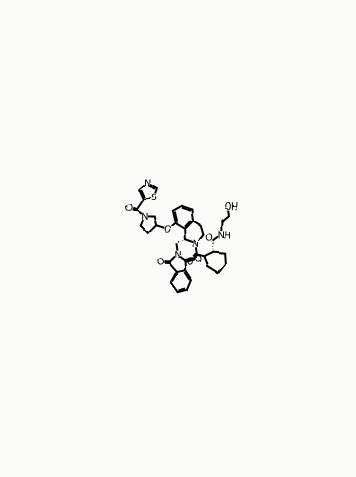 O=C(NCCO)[C@@H]1CCCCC1C(=O)N1CCc2cccc(OC3CCN(C(=O)c4cncs4)C3)c2[C@H]1CN1C(=O)c2ccccc2C1=O